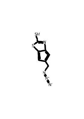 [N-]=[N+]=NCC1=C=c2nc(S)sc2=C1